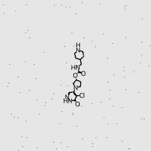 O=C(NCC1CCNCC1)O[C@@H]1CCN(c2cn[nH]c(=O)c2Cl)C1